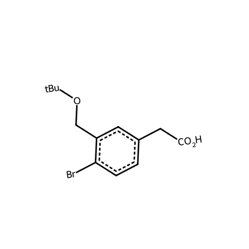 CC(C)(C)OCc1cc(CC(=O)O)ccc1Br